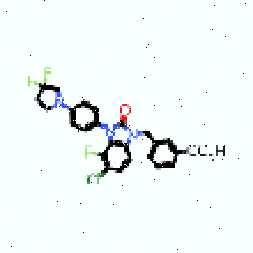 O=C(O)c1cccc(Cn2c(=O)n(-c3ccc(N4CCC(F)(F)C4)cc3)c3c(F)c(Cl)ccc32)c1